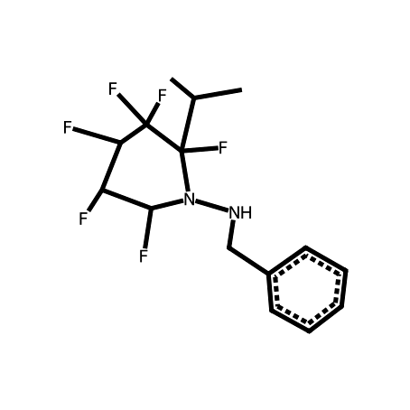 CC(C)C1(F)N(NCc2ccccc2)C(F)C(F)C(F)C1(F)F